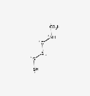 O=C(O)NOSSS